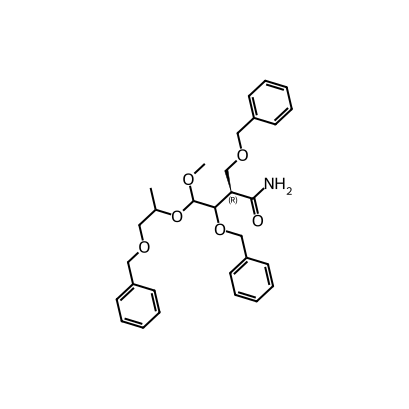 COC(OC(C)COCc1ccccc1)C(OCc1ccccc1)[C@@H](COCc1ccccc1)C(N)=O